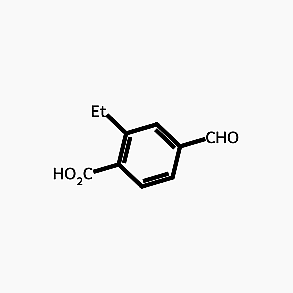 CCc1cc(C=O)ccc1C(=O)O